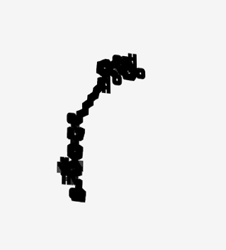 O=C1CCC(N2C(=O)c3cccc(NCCCCCCCCCCC(=O)N4CCN(c5ccc(-c6ncc(NCc7ccco7)n7cnnc67)cc5)CC4)c3C2=O)C(=O)N1